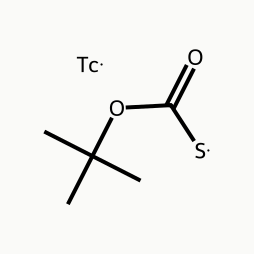 CC(C)(C)OC(=O)[S].[Tc]